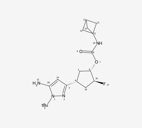 CC(C)(C)n1nc([C@@H]2C[C@H](OC(=O)NC34CC(C3)C4)[C@@H](F)C2)cc1N